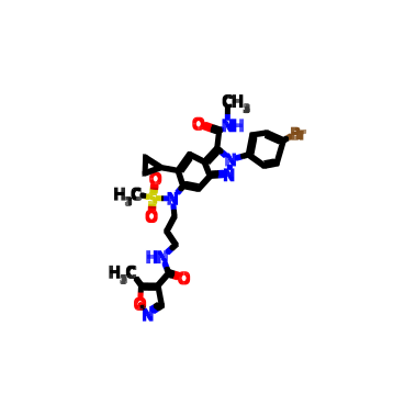 CNC(=O)c1c2cc(C3CC3)c(N(CCCNC(=O)c3cnoc3C)S(C)(=O)=O)cc2nn1-c1ccc(Br)cc1